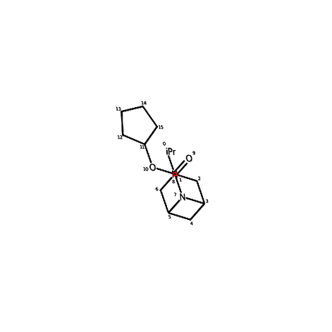 CC(C)N1CC2CC(C1)N2C(=O)OC1CCCC1